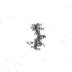 CC(=O)O.CC[C@H](C)[C@H](NC(=O)[C@H](C)NC(=O)[C@@H]1CCCN1)C(=O)N[C@@H](CCC(=O)O)C(=O)N1CCC[C@H]1C(=O)N[C@H](C(=O)N1CCC[C@H]1C(=O)N[C@@H](CC(C)C)C(=O)N[C@H](C(=O)N[C@@H](CCCCN)C(=O)N[C@@H](CCC(N)=O)C(=O)N[C@@H](CC(=O)O)C(=O)O)C(C)C)C(C)C